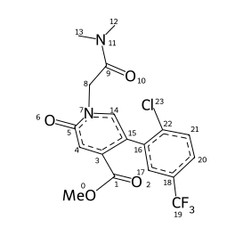 COC(=O)c1cc(=O)n(CC(=O)N(C)C)cc1-c1cc(C(F)(F)F)ccc1Cl